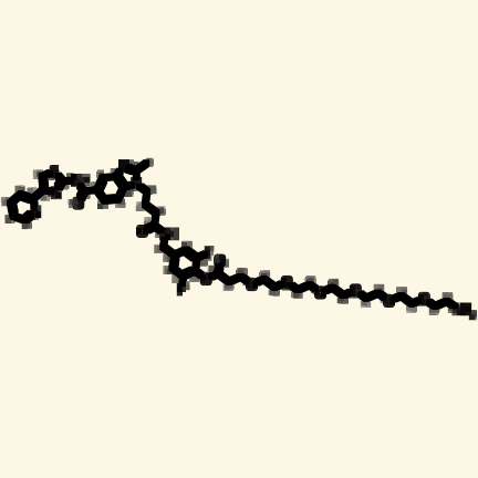 Cc1nc2cc(C(=O)Nc3nc(-c4ccccn4)cs3)ccc2n1CCCC(=O)NCc1cc(F)c(OC(=O)CCOCCOCCOCCOCCOCCOCCN)c(F)c1